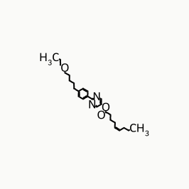 CCC/C=C\CCCC(=O)Oc1cnc(-c2ccc(CCCCCOCCC)cc2)nc1